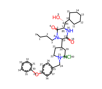 CCCCN1C(=O)[C@@H]([C@H](O)C2CCCCC2)NC(=O)C1C1CCN(Cc2ccc(Oc3ccccc3)cc2)CC1.Cl